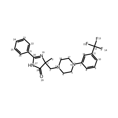 CC1(CN2CCN(c3cccc(C(F)(F)F)c3)CC2)N=C(c2ccccc2)NC1=O